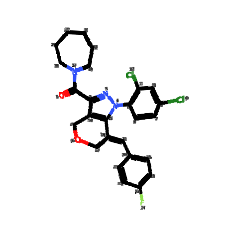 O=C(c1nn(-c2ccc(Cl)cc2Cl)c2c1COCC2=Cc1ccc(F)cc1)N1CCCCCC1